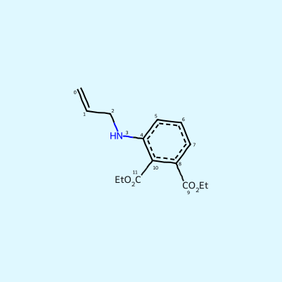 C=CCNc1cccc(C(=O)OCC)c1C(=O)OCC